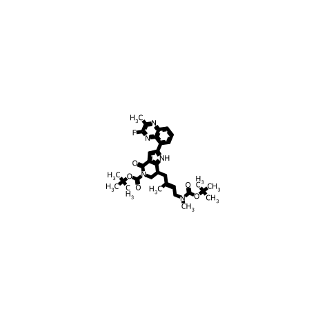 C/C(=C\CN(C)C(=O)OC(C)(C)C)CC1CN(C(=O)OC(C)(C)C)C(=O)c2cc(-c3cccc4nc(C)c(F)nc34)[nH]c21